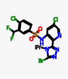 CC(C)n1c(Br)nnc1-c1ncc(Cl)cc1NS(=O)(=O)c1ccc(Cl)c(C(F)F)c1